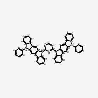 c1ccc(-n2c3ccccc3c3cc4c(cc32)c2ccccc2n4-c2ncnc(-n3c4ccccc4c4cc5c(cc43)c3ccccc3n5-c3ccccc3)n2)cc1